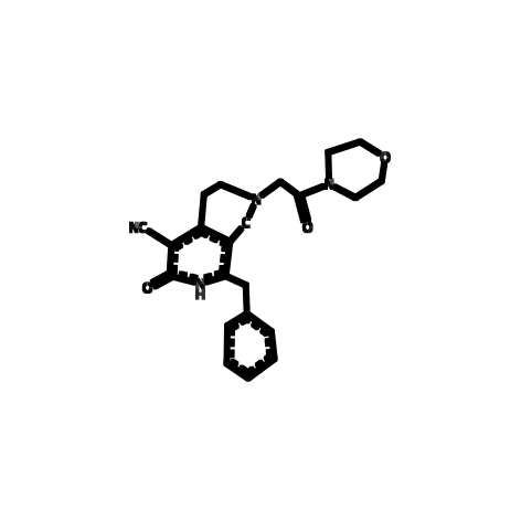 N#Cc1c2c(c(Cc3ccccc3)[nH]c1=O)CN(CC(=O)N1CCOCC1)CC2